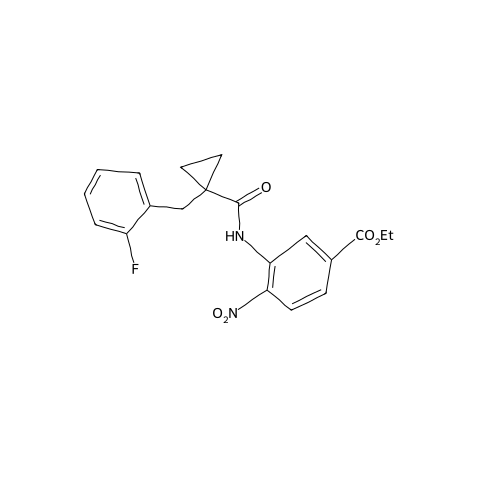 CCOC(=O)c1ccc([N+](=O)[O-])c(NC(=O)C2(Cc3ccccc3F)CC2)c1